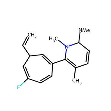 C=CC1C=C(F)C=CC(C2=C(C)C=CC(NC)N2C)=C1